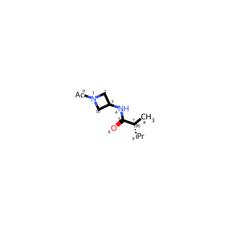 CC(=O)N1CC(NC(=O)[C@H](C)C(C)C)C1